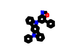 c1ccc(-c2cc(-n3c4ccccc4c4cc5c(cc43)c3ccccc3n5-c3ccccc3)cc3ncoc23)cc1